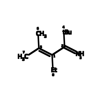 CCC(C(=N)C(C)(C)C)=C(C)C